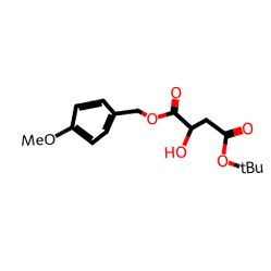 COc1ccc(COC(=O)C(O)CC(=O)OC(C)(C)C)cc1